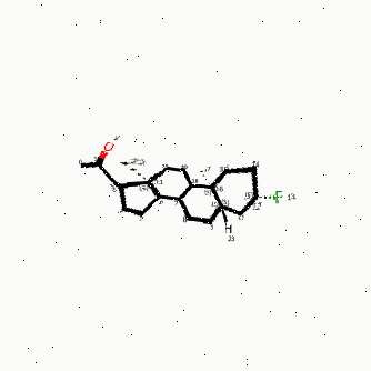 CC(=O)C1CCC2C3CC[C@H]4C[C@@H](F)CC[C@]4(C)C3CC[C@]12C